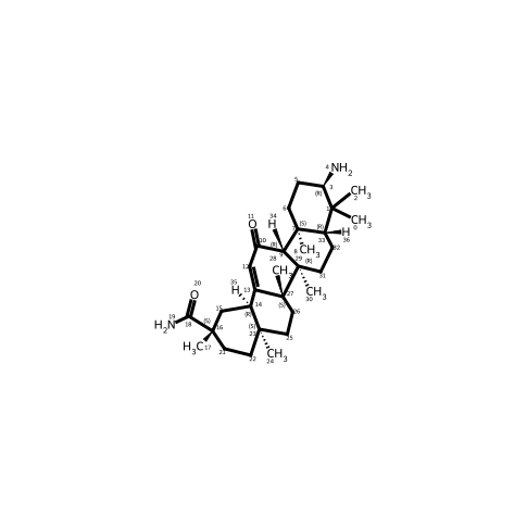 CC1(C)[C@H](N)CC[C@]2(C)[C@H]3C(=O)C=C4[C@@H]5C[C@@](C)(C(N)=O)CC[C@]5(C)CC[C@@]4(C)[C@]3(C)CC[C@@H]12